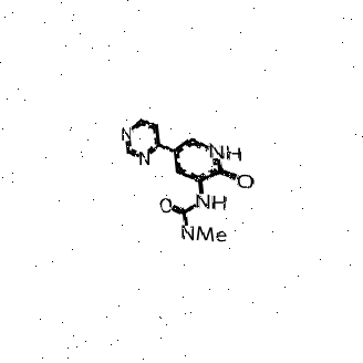 CNC(=O)Nc1cc(-c2ccncn2)c[nH]c1=O